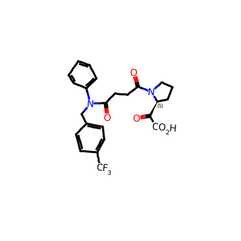 O=C(O)C(=O)[C@@H]1CCCN1C(=O)CCC(=O)N(Cc1ccc(C(F)(F)F)cc1)c1ccccc1